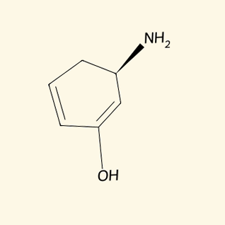 N[C@H]1C=C(O)C=CC1